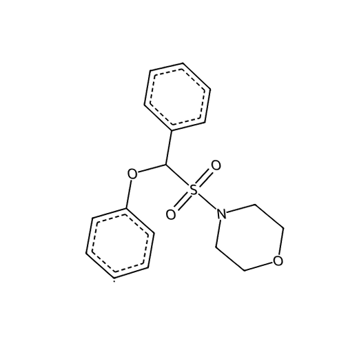 O=S(=O)(C(Oc1cc[c]cc1)c1ccccc1)N1CCOCC1